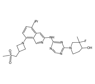 CC(C)c1ccc(N2CC(CS(C)(=O)=O)C2)c2cnc(Nc3ncnc(N4CCC(O)C(C)(F)C4)n3)cc12